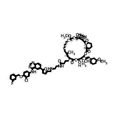 CO[C@@H]1CCCCC/C(C)=C/[C@@H](CCCC(=O)NCCNCc2ccc(-c3ccc4ncnc(Nc5ccc(OCc6cccc(F)c6)c(Cl)c5)c4c3)o2)C(=O)C[C@H](O)[C@@H](C)[C@@H](/C(C)=C/[C@@H]2CCC[C@H](OC)C2)OC(=O)[C@@H]2CCCCN2C(=O)C(=O)C(O)(O)[C@H](C)C1